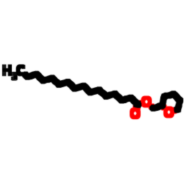 CCCCCCCCCCCCCCCC(=O)OCC1CCCCO1